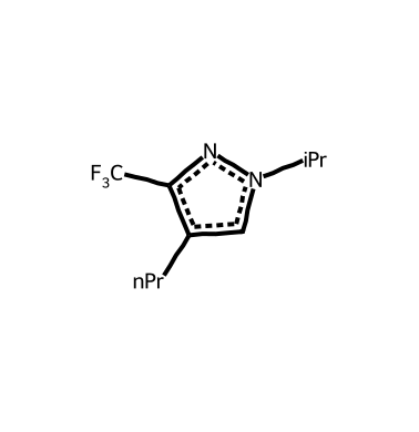 CCCc1cn(C(C)C)nc1C(F)(F)F